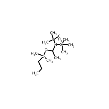 CCC[Si](C)(C)OC(C)N([Si](C)(C)C)[Si](C)(C)C